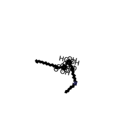 CCCCCCCC/C=C\CCCCCCCC(=O)OC[C@H]1O[C@H](O[C@H]2O[C@H](COC(=O)CCCCCCCCCCCC(C)C)[C@@H](O)[C@H](O)[C@H]2O)[C@H](O)[C@@H](O)[C@@H]1O